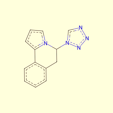 c1ccc2c(c1)CC(n1cnnn1)n1cccc1-2